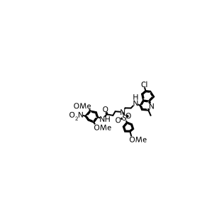 COc1ccc(S(=O)(=O)N(CCNc2cc(C)nc3ccc(Cl)cc23)CCC(=O)Nc2cc(OC)c([N+](=O)[O-])cc2OC)cc1